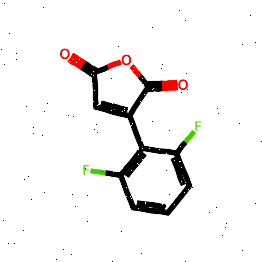 O=C1C=C(c2c(F)cccc2F)C(=O)O1